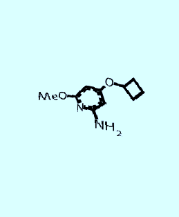 COc1cc(OC2CCC2)cc(N)n1